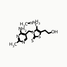 CCCC.Cc1ncc(Cn2c(C)c(CCO)sc2=S)c(N)n1